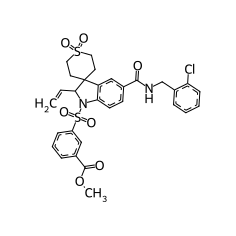 C=CC1N(S(=O)(=O)c2cccc(C(=O)OC)c2)c2ccc(C(=O)NCc3ccccc3Cl)cc2C12CCS(=O)(=O)CC2